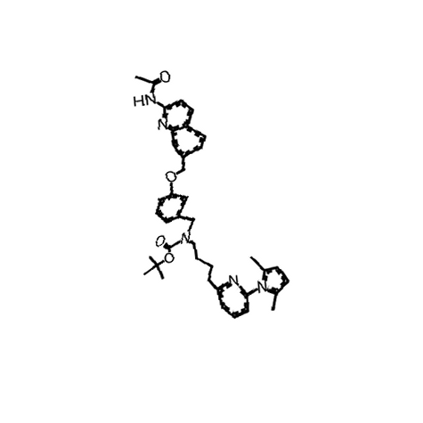 CC(=O)Nc1ccc2ccc(COc3cccc(CN(CCCCc4cccc(-n5c(C)ccc5C)n4)C(=O)OC(C)(C)C)c3)cc2n1